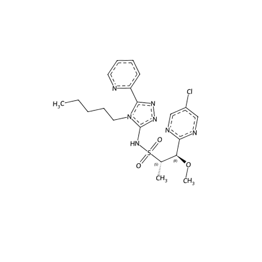 CCCCCn1c(NS(=O)(=O)[C@@H](C)[C@H](OC)c2ncc(Cl)cn2)nnc1-c1ccccn1